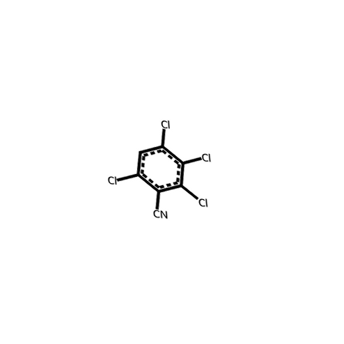 N#Cc1c(Cl)cc(Cl)c(Cl)c1Cl